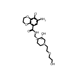 Nc1cc(C(=O)NC[C@@H]2CCN(CCOCCO)C[C@H]2O)c2c(c1Cl)OCCO2